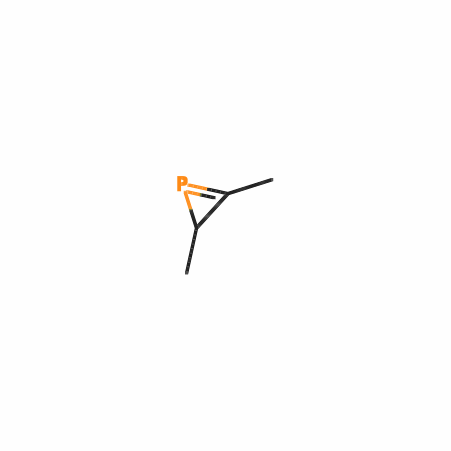 CC1=PC1C